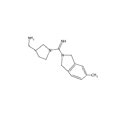 Cc1ccc2c(c1)CN(C(=N)N1CCC(CN)C1)C2